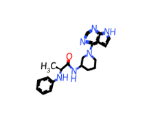 C[C@H](Nc1ccccc1)C(=O)NC1CCCN(c2ncnc3[nH]ccc23)C1